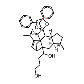 CC(C)C1=CC2CC3(C4OCCO4)[C@@H]4CC[C@@H](C)[C@H]4CC2(C(O)CCCO)C13C(=O)OC(c1ccccc1)c1ccccc1